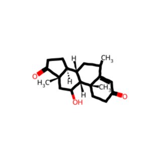 CC1C[C@@H]2[C@@H](C(O)C[C@]3(C)C(=O)CC[C@@H]23)[C@@]2(C)CCC(=O)C=C12